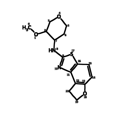 COC1COCCC1Nc1nc2c3c(ccc2s1)OCC3